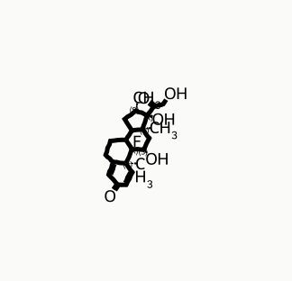 C[C@H]1CC2C3CCC4=CC(=O)C=C[C@]4(C)[C@@]3(F)[C@@H](O)C[C@]2(C)[C@@]1(O)C(=O)CO